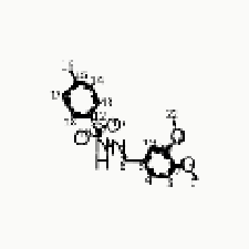 COc1ccc(C=NNS(=O)(=O)c2ccc(C)cc2)cc1OC